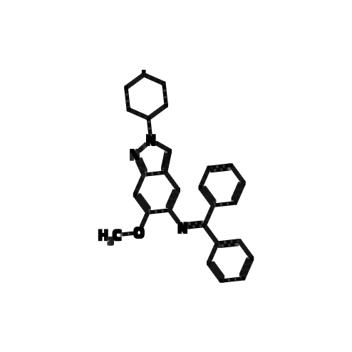 COc1cc2nn(C3CC[CH]CC3)cc2cc1N=C(c1ccccc1)c1ccccc1